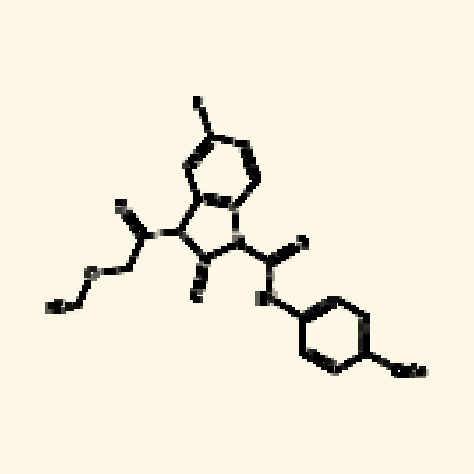 CCCCCCCCCCOCC(=O)C1C(=O)N(C(=O)Nc2ccc(OC)cc2)c2ccc(F)cc21